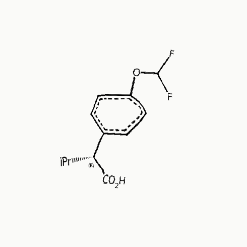 CC(C)[C@@H](C(=O)O)c1ccc(OC(F)F)cc1